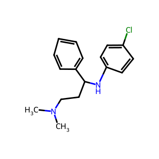 CN(C)CCC(Nc1ccc(Cl)cc1)c1ccccc1